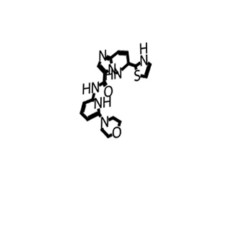 O=C(NC1C=CC=C(N2CCOCC2)N1)c1cnc2n1NC(C1NC=CS1)C=C2